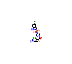 CN(C)N=Cc1csc(C(=O)N2CCN(S(=O)(=O)c3cc4cc(Cl)ccc4[nH]3)CC2)c1Cl